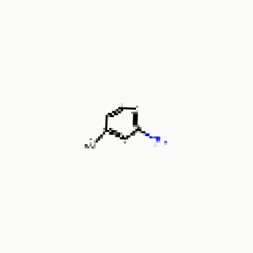 CCC(C)c1cccc(N)c1